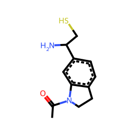 CC(=O)N1CCc2ccc(C(N)CS)cc21